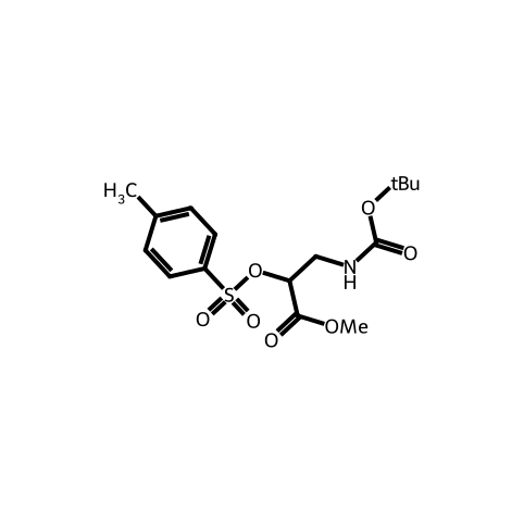 COC(=O)C(CNC(=O)OC(C)(C)C)OS(=O)(=O)c1ccc(C)cc1